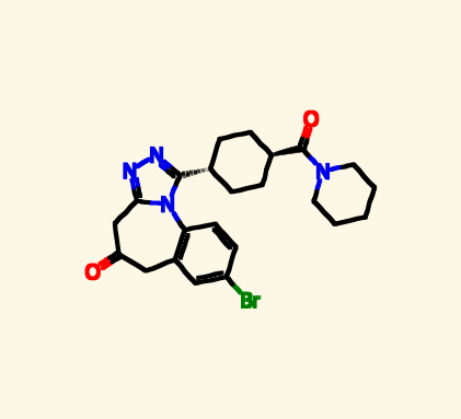 O=C1Cc2cc(Br)ccc2-n2c(nnc2[C@H]2CC[C@H](C(=O)N3CCCCC3)CC2)C1